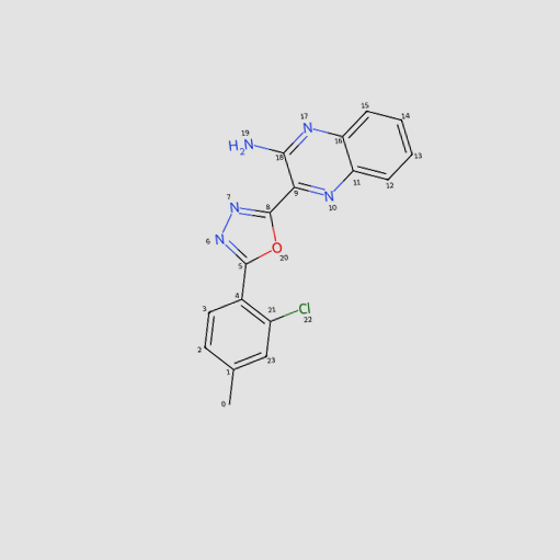 Cc1ccc(-c2nnc(-c3nc4ccccc4nc3N)o2)c(Cl)c1